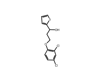 OC(CCOc1ccc(Cl)cc1Cl)c1cccs1